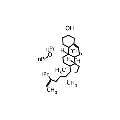 C/C=C(\CC[C@@H](C)[C@H]1CC[C@H]2[C@@H]3CC=C4C[C@@H](O)CC[C@]4(C)[C@H]3CC[C@]12C)C(C)C.CCCOCCC